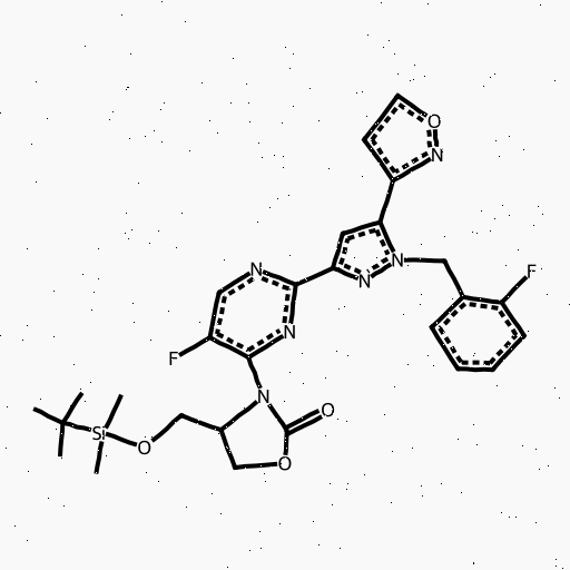 CC(C)(C)[Si](C)(C)OCC1COC(=O)N1c1nc(-c2cc(-c3ccon3)n(Cc3ccccc3F)n2)ncc1F